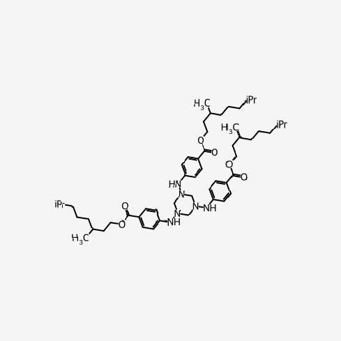 CC(C)CCCC(C)CCOC(=O)c1ccc(NN2CN(Nc3ccc(C(=O)OCCC(C)CCCC(C)C)cc3)CN(Nc3ccc(C(=O)OCCC(C)CCCC(C)C)cc3)C2)cc1